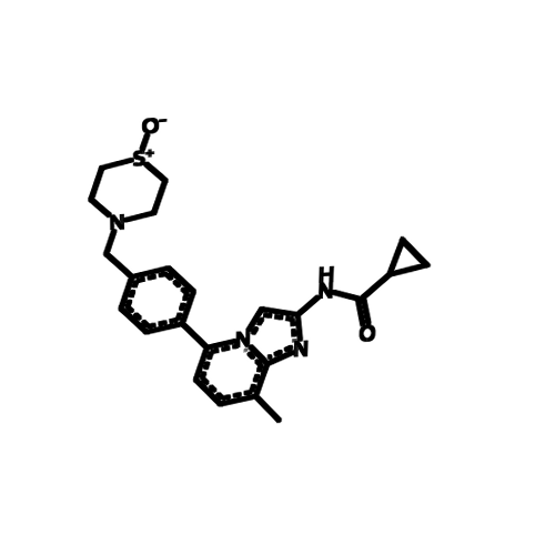 Cc1ccc(-c2ccc(CN3CC[S+]([O-])CC3)cc2)n2cc(NC(=O)C3CC3)nc12